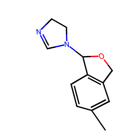 Cc1ccc2c(c1)COC2N1C=NCC1